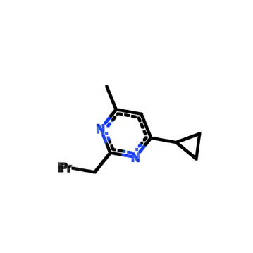 Cc1cc(C2CC2)nc(CC(C)C)n1